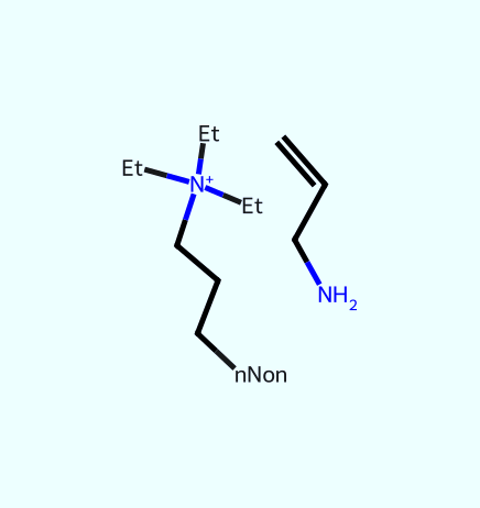 C=CCN.CCCCCCCCCCCC[N+](CC)(CC)CC